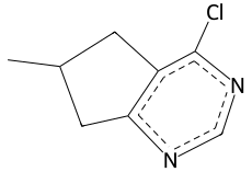 CC1Cc2ncnc(Cl)c2C1